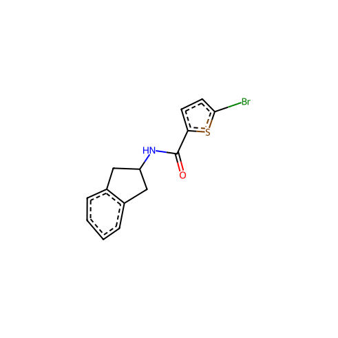 O=C(NC1Cc2ccccc2C1)c1ccc(Br)s1